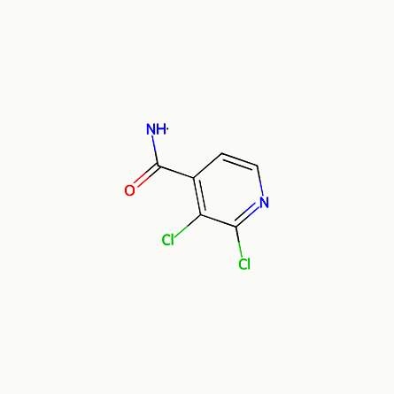 [NH]C(=O)c1ccnc(Cl)c1Cl